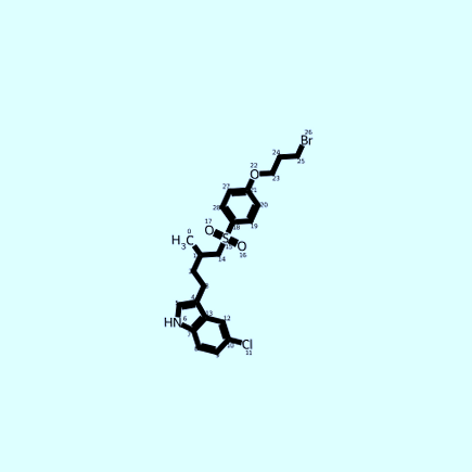 CC(CCc1c[nH]c2ccc(Cl)cc12)CS(=O)(=O)c1ccc(OCCCBr)cc1